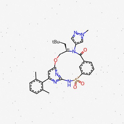 Cc1cccc(C)c1-c1cc2nc(n1)NS(=O)(=O)c1cccc(c1)C(=O)N(c1cnn(C)c1)[C@H](CC(C)(C)C)CO2